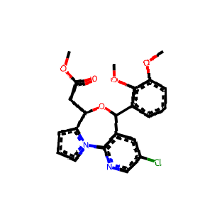 COC(=O)CC1OC(c2cccc(OC)c2OC)c2cc(Cl)cnc2-n2cccc21